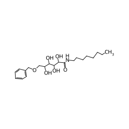 CCCCCCCCNC(=O)C(O)C(O)C(O)C(O)COCc1ccccc1